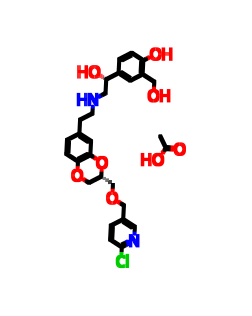 CC(=O)O.OCc1cc([C@@H](O)CNCCc2ccc3c(c2)O[C@H](COCc2ccc(Cl)nc2)CO3)ccc1O